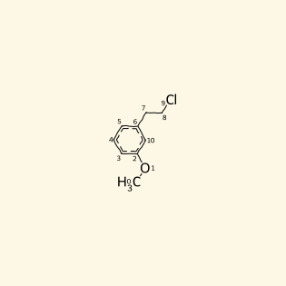 COc1cccc(CCCl)c1